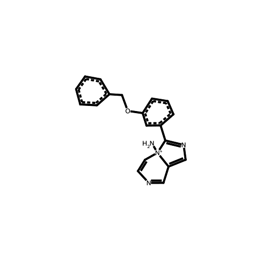 N[N+]12C=CN=CC1=CN=C2c1cccc(OCc2ccccc2)c1